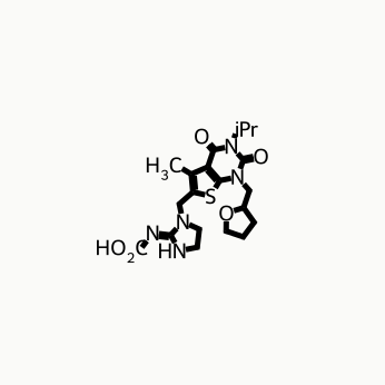 Cc1c(CN2CCN/C2=N\C(=O)O)sc2c1c(=O)n(C(C)C)c(=O)n2CC1CCCO1